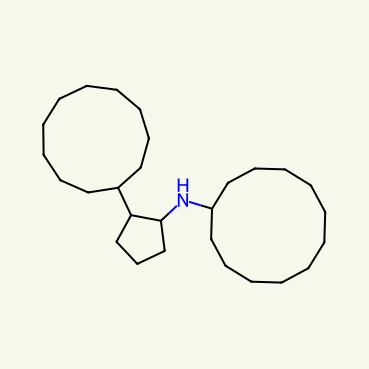 C1CCCCCC(NC2CCCC2C2CCCCCCCCCC2)CCCCC1